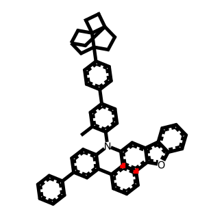 Cc1cc(-c2ccc(C34CCC56CCC53CC(C6)C4)cc2)ccc1N(c1ccc2oc3ccccc3c2c1)c1ccc(-c2ccccc2)cc1-c1ccccc1